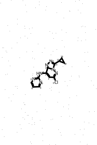 Clc1cc(Nc2ncccn2)c2nnc(C3CC3)n2n1